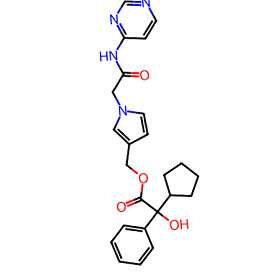 O=C(Cn1ccc(COC(=O)C(O)(c2ccccc2)C2CCCC2)c1)Nc1ccncn1